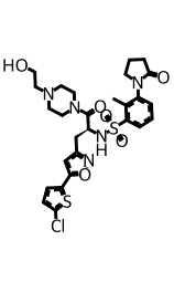 Cc1c(N2CCCC2=O)cccc1S(=O)(=O)N[C@@H](Cc1cc(-c2ccc(Cl)s2)on1)C(=O)N1CCN(CCO)CC1